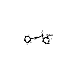 COc1ncccc1C(=O)C#Cc1ccccc1